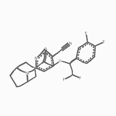 N#Cc1ccc(N2C3CCC2CN(C(=O)COC(c2ccc(F)c(F)c2)C(F)F)C3)nc1